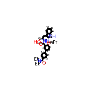 CCCOc1ccc(-c2ccc(C(=O)N(CC)CC)cc2)cc1C(=O)N[C@H](CO)Cc1c[nH]c2ccccc12